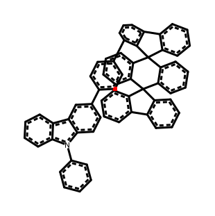 c1ccc(-n2c3ccccc3c3cc(-c4ccc(-c5cccc6c5C5(c7ccccc7-6)c6ccccc6C6(c7ccccc7-c7ccccc76)c6ccccc65)cc4)ccc32)cc1